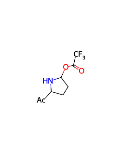 CC(=O)C1CCC(OC(=O)C(F)(F)F)N1